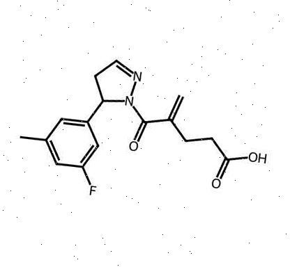 C=C(CCC(=O)O)C(=O)N1N=CCC1c1cc(C)cc(F)c1